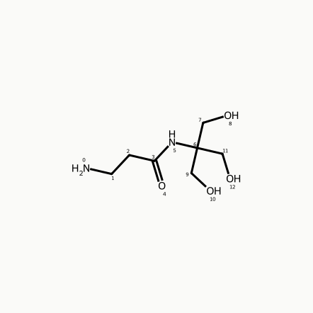 NCCC(=O)NC(CO)(CO)CO